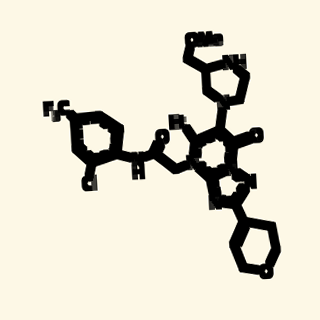 CCc1c(N2CCNC(COC)C2)c(=O)n2nc(C3=CCOCC3)nc2n1CC(=O)Nc1ccc(C(F)(F)F)cc1Cl